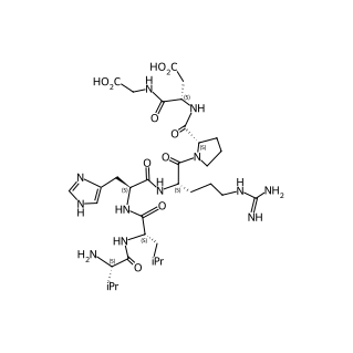 CC(C)C[C@H](NC(=O)[C@@H](N)C(C)C)C(=O)N[C@@H](Cc1c[nH]cn1)C(=O)N[C@@H](CCCNC(=N)N)C(=O)N1CCC[C@H]1C(=O)N[C@@H](CC(=O)O)C(=O)NCC(=O)O